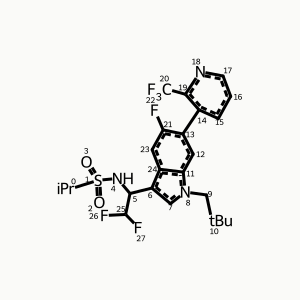 CC(C)S(=O)(=O)NC(c1cn(CC(C)(C)C)c2cc(-c3cccnc3C(F)(F)F)c(F)cc12)C(F)F